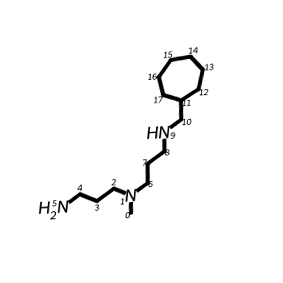 CN(CCCN)CCCNCC1CCCCCC1